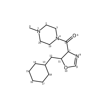 CN1CCN(C(=O)C2N=[C]OC2CC2CCCCC2)CC1